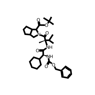 CC(C)[C@](C)(NC(=O)[C@@H](NC(=O)OCc1ccccc1)C1CCCCC1)C(=O)N1CC2CCCC2C1C(=O)OC(C)(C)C